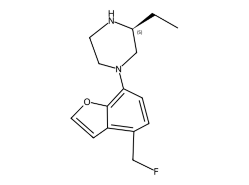 CC[C@H]1CN(c2ccc(CF)c3ccoc23)CCN1